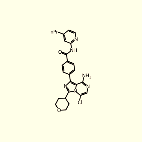 CCCc1ccnc(NC(=O)c2ccc(-c3nc(C4CCOCC4)n4c(Cl)cnc(N)c34)cc2)c1